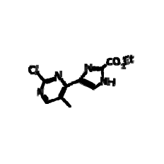 CCOC(=O)c1nc(-c2nc(Cl)ncc2C)c[nH]1